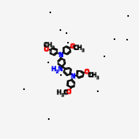 COc1ccc(N(C2=CCC(N)(c3ccc(N(c4ccc(OC)cc4)c4ccc(OC)cc4)cc3)C=C2)c2ccc(OC)cc2)cc1